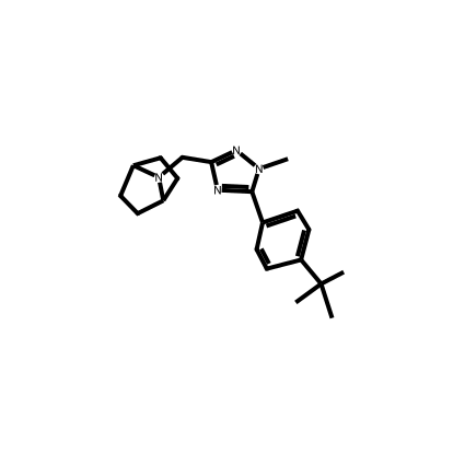 Cn1nc(CN2C3CCC2CC3)nc1-c1ccc(C(C)(C)C)cc1